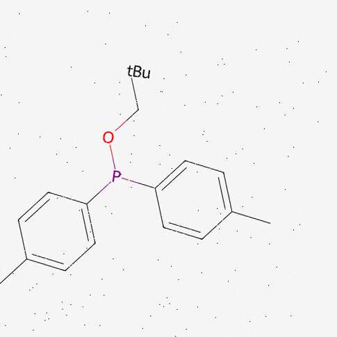 Cc1ccc(P(OCC(C)(C)C)c2ccc(C)cc2)cc1